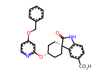 O=C(O)c1ccc2c(c1)[C@]1(CC[C@@H](Oc3cc(OCc4ccccc4)ccn3)CC1)C(=O)N2